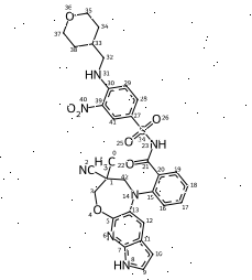 CC1(C#N)COc2nc3[nH]ccc3cc2N(c2ccccc2C(=O)NS(=O)(=O)c2ccc(NCC3CCOCC3)c([N+](=O)[O-])c2)C1